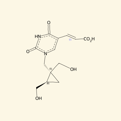 O=C(O)/C=C/c1cn(C[C@]2(CO)C[C@H]2CO)c(=O)[nH]c1=O